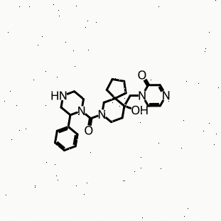 O=C(N1CCC(O)(Cn2ccncc2=O)C2(CCCC2)C1)N1CCNCC1c1ccccc1